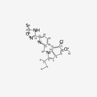 CCC(C)c1cc2cc(OC)c(Cl)cc2n1Cc1cccc(-c2noc(=S)[nH]2)n1